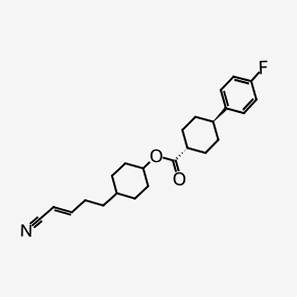 N#C/C=C/CCC1CCC(OC(=O)[C@H]2CC[C@H](c3ccc(F)cc3)CC2)CC1